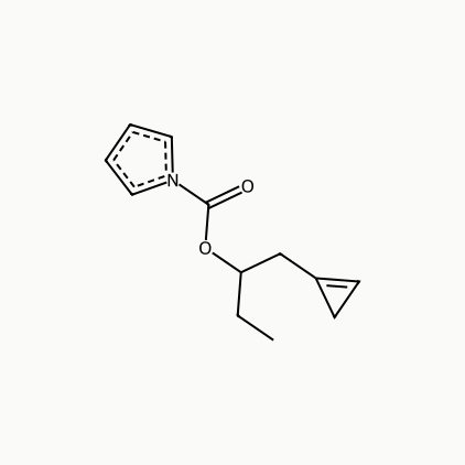 CCC(CC1=CC1)OC(=O)n1cccc1